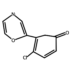 O=C1C=CC(Cl)=C(C2=C[N]C=CO2)C1